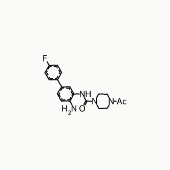 CC(=O)N1CCN(C(=O)Nc2cc(-c3ccc(F)cc3)ccc2N)CC1